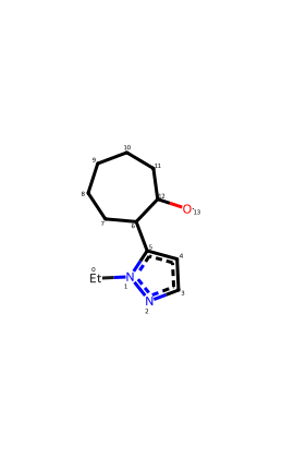 CCn1nccc1C1CCCCCC1[O]